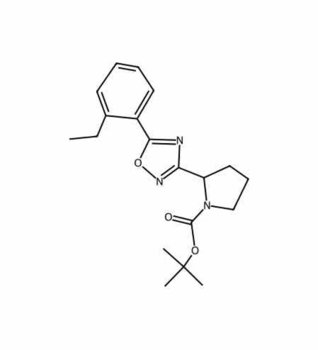 CCc1ccccc1-c1nc(C2CCCN2C(=O)OC(C)(C)C)no1